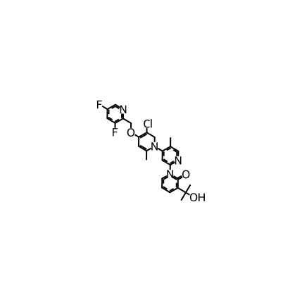 CC1=CC(OCc2ncc(F)cc2F)=C(Cl)CN1c1cc(-n2cccc(C(C)(C)O)c2=O)ncc1C